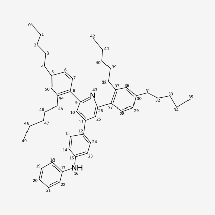 CCCCCc1ccc(-c2cc(-c3ccc(Nc4ccccc4)cc3)cc(-c3ccc(CCCCC)cc3CCCCC)n2)c(CCCCC)c1